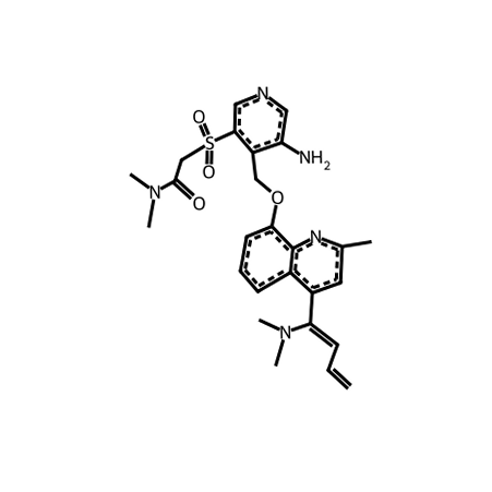 C=C/C=C(/c1cc(C)nc2c(OCc3c(N)cncc3S(=O)(=O)CC(=O)N(C)C)cccc12)N(C)C